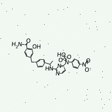 CC(Nc1nccc(N(c2ccc([N+](=O)[O-])cc2)S(=O)(=O)O)n1)c1ccc(Cc2ccc(C(N)=O)c(O)c2)cc1